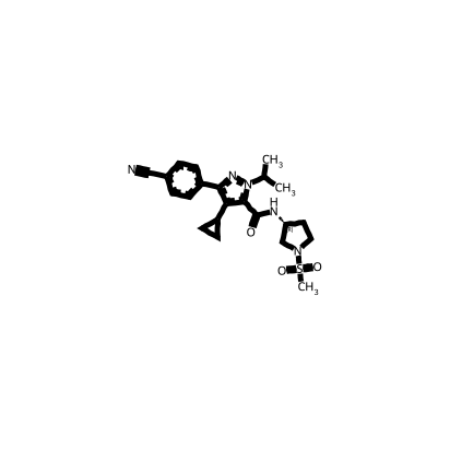 CC(C)n1nc(-c2ccc(C#N)cc2)c(C2CC2)c1C(=O)N[C@@H]1CCN(S(C)(=O)=O)C1